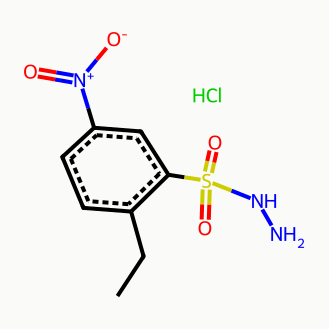 CCc1ccc([N+](=O)[O-])cc1S(=O)(=O)NN.Cl